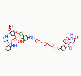 CCOc1cc(O)c(C(=O)CC(O)c2ccc(NCCOCCCOCCOCCNc3ccc4c(c3)C(=O)N(C3CCC(=O)NC3=O)C4=O)cc2Cl)cc1CN1CCC=C(n2c(=O)[nH]c3ccccc32)C1